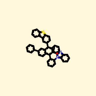 CCc1nc2ccccc2n1-c1ccccc1-c1c2ccccc2c(-c2ccc3sc4ccccc4c3c2)c2cc(-c3ccccc3)ccc12